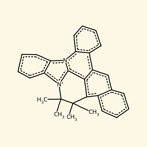 CC1(C)c2c3ccccc3cc3c4ccccc4n4c5ccccc5[n+](c4c23)C1(C)C